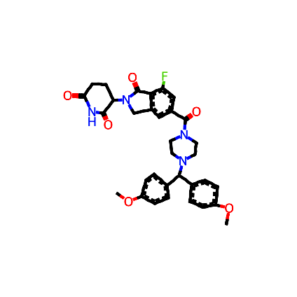 COc1ccc(C(c2ccc(OC)cc2)N2CCN(C(=O)c3cc(F)c4c(c3)CN(C3CCC(=O)NC3=O)C4=O)CC2)cc1